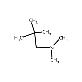 C[Si](C)CC(C)(C)C